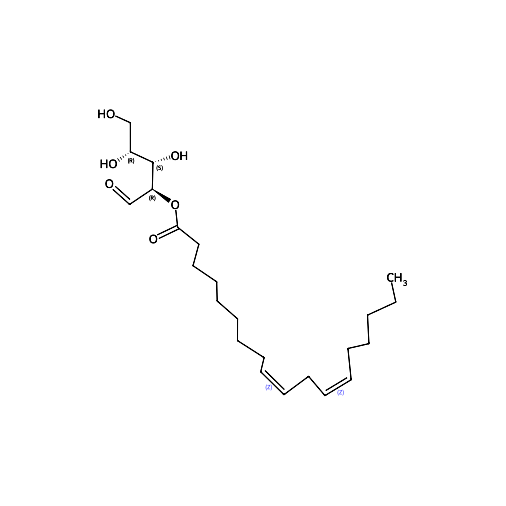 CCCCC/C=C\C/C=C\CCCCCCCC(=O)O[C@@H](C=O)[C@@H](O)[C@H](O)CO